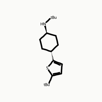 CC(C)(C)N[C@H]1CC[C@H](c2ccc(C(C)(C)C)s2)CC1